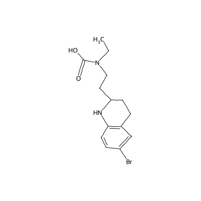 CCN(CCC1CCc2cc(Br)ccc2N1)C(=O)O